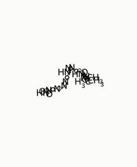 CC(C)(C)c1nc(C(=O)NC2CCc3cc(-c4ncnc5[nH]c(-c6ccc(N7CCN(CC8CCN(c9ccc(N%10CCC(=O)NC%10=O)cc9)CC8)CC7)cc6)cc45)ccc32)no1